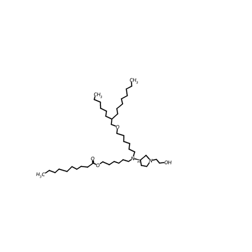 CCCCCCCCCC(=O)OCCCCCCN(CCCCCCOCC(CCCCCC)CCCCCCCC)[C@@H]1CCN(CCO)C1